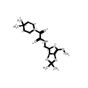 COC1=C2OC(C)(C)OC2C(CNC(=O)C(=O)N2CCC(C)(N)CC2)O1